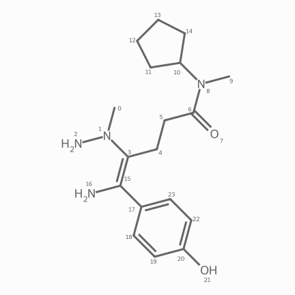 CN(N)/C(CCC(=O)N(C)C1CCCC1)=C(\N)c1ccc(O)cc1